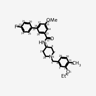 CCOc1cc(CN2CCC(NC(=O)c3cc(OC)cc(-c4ccc(F)cc4)c3)CC2)ccc1C